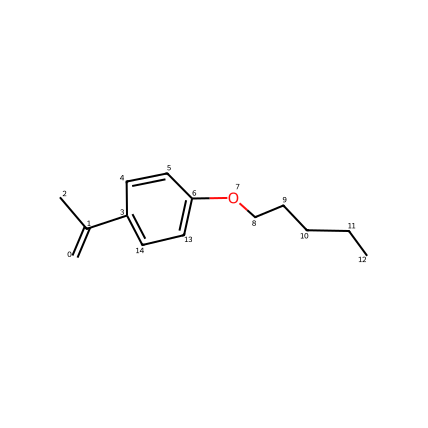 C=C(C)c1ccc(OCCCCC)cc1